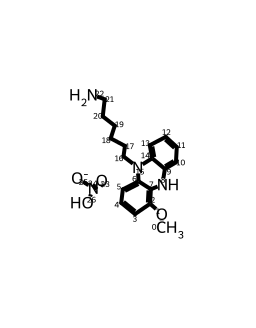 COc1cccc2c1Nc1ccccc1N2CCCCCCN.O=[N+]([O-])O